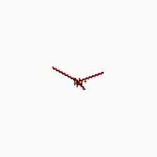 CCCCCCCCCCCCCCCCCn1cc[n+](CCCCC)c1CCCCCCCCCCCCCCCC